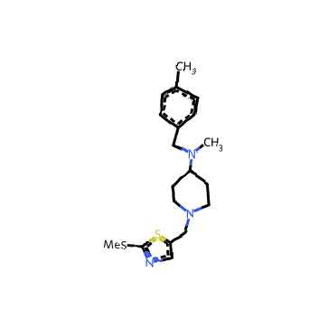 CSc1ncc(CN2CCC(N(C)Cc3ccc(C)cc3)CC2)s1